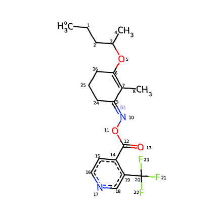 CCCC(C)OC1=C(C)/C(=N/OC(=O)c2ccncc2C(F)(F)F)CCC1